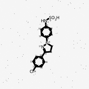 O=S(=O)(O)Nc1ccc(N2CCC(c3ccc(Cl)cc3)=N2)cc1